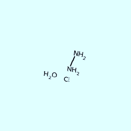 NN.O.[C]